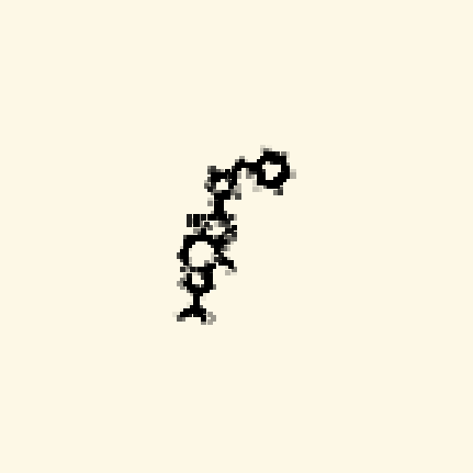 CC(=O)c1cc2n(n1)CC[C@H](NC(=O)c1ncn(Cc3ccccc3)n1)C(=O)N2C